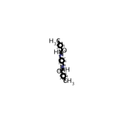 CC1CCC(C(=O)N/N=C/C2CCC(/C=N/NC(=O)C3CCC(C)CC3)CC2)CC1